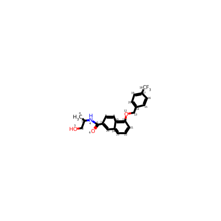 CC(CO)NC(=O)c1ccc2c(OCc3ccc(C(F)(F)F)cc3)cccc2c1